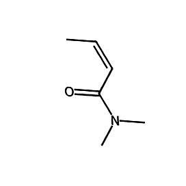 C/C=C\C(=O)N(C)C